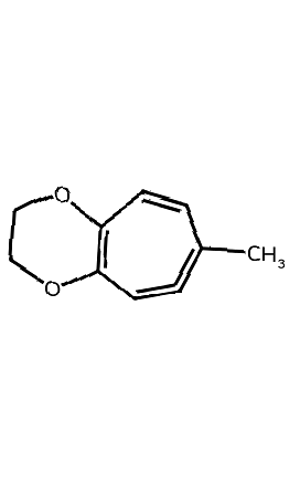 CC1=C=CC2=C(C=C1)OCCO2